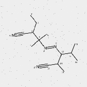 CCC(C#N)C(C)(C)N=NC(C(C)C)C(C)C#N